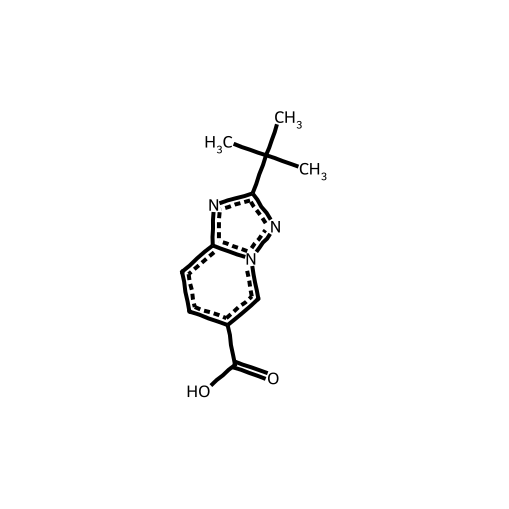 CC(C)(C)c1nc2ccc(C(=O)O)cn2n1